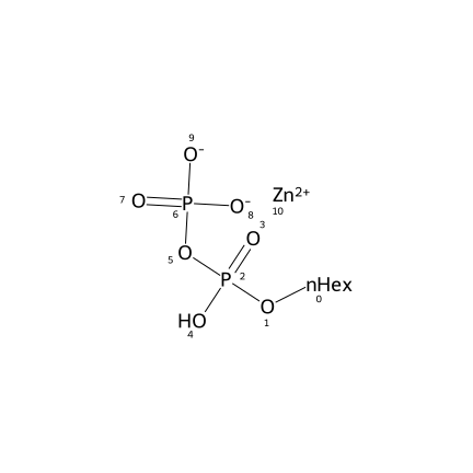 CCCCCCOP(=O)(O)OP(=O)([O-])[O-].[Zn+2]